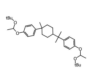 CC(Oc1ccc(C2(C)CCC(C(C)(C)c3ccc(OC(C)OC(C)(C)C)cc3)CC2)cc1)OC(C)(C)C